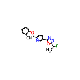 CC(F)c1nnc(-c2ccc(COc3ccccc3C#N)nc2)o1